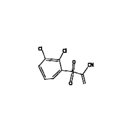 C=C(C#N)S(=O)(=O)c1cccc(Cl)c1Cl